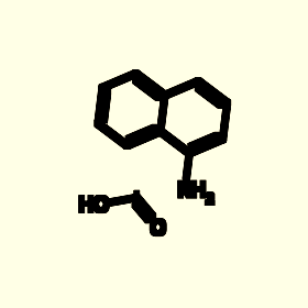 Nc1cccc2ccccc12.O=[C]O